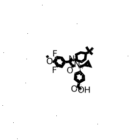 COc1c(F)cc(C2=NC3(CCC(C(C)(C)C)CC3)N([C@@H](c3ccc(C(=O)O)cc3)C3CC3)C2=O)cc1F